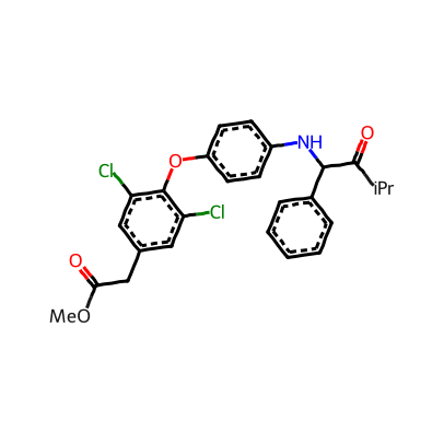 COC(=O)Cc1cc(Cl)c(Oc2ccc(NC(C(=O)C(C)C)c3ccccc3)cc2)c(Cl)c1